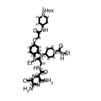 CCCCCCN1CCC(NC(=O)COc2ccc3c(c2)n(C2CCN(C(=O)NCC)CC2)c(CNC(=O)c2nc(Cl)c(N)nc2N)[n+]3CC)CC1